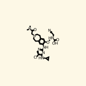 COc1cc2c(cc1Nc1ncc(Cl)c(NC3CC3)n1)CCN(CC(=O)N(C)C)CC2.N#CCNC(=O)O